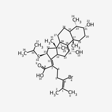 CC(C)=C(Br)CC/C(C(=O)O)=C1\C2C[C@@H](O)C3[C@@]4(C)CC[C@@H](O)[C@@H](C)C4CC[C@]3(C)[C@@]2(C)C[C@@H]1SC(C)C